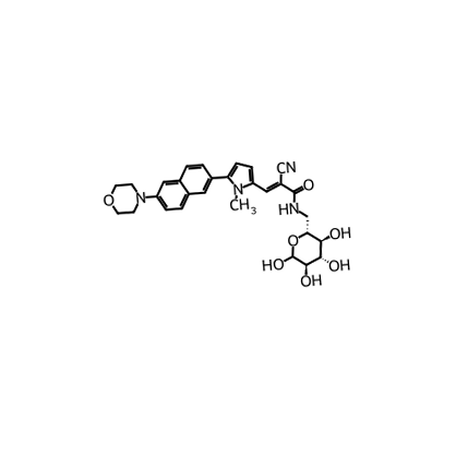 Cn1c(/C=C(\C#N)C(=O)NC[C@H]2OC(O)[C@H](O)[C@@H](O)[C@@H]2O)ccc1-c1ccc2cc(N3CCOCC3)ccc2c1